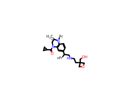 CCCC(CNCCC1(CO)COC1)c1ccc2c(c1)N(C(=O)C1CC1)C[C@H](C)N2C(C)=O